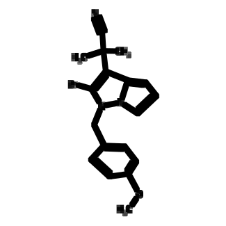 COc1ccc(Cn2c(Br)c(C(C)(C)C#N)c3cccn32)cc1